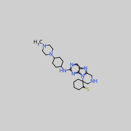 CN1CCN(C2CCC(Nc3ncc4nc5n(c4n3)C3(CCCCC3=S)CNC5)CC2)CC1